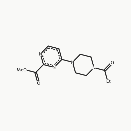 CCC(=O)N1CCN(c2ccnc(C(=O)OC)n2)CC1